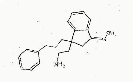 NCCC1(CCCc2ccccc2)C/C(=N/O)c2ccccc21